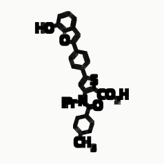 CC1CCC(C(=O)N(c2cc(-c3ccc(-c4cc5cccc(O)c5o4)cc3)sc2C(=O)O)C(C)C)CC1